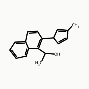 CC1=CC(c2ccc3ccccc3c2C(C)O)C=C1